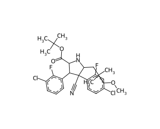 COCC(C)(C)CC1NC(C(=O)OC(C)(C)C)C(c2cccc(Cl)c2F)C1(C#N)c1ccc(Cl)cc1F